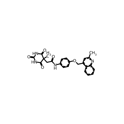 Cc1cc(COc2ccc(NC(=O)CC3(C)C(=O)NC(=O)NC3=O)cc2)c2ccccc2n1